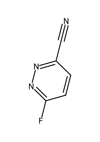 N#Cc1ccc(F)nn1